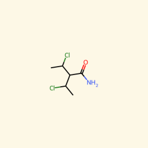 CC(Cl)C(C(N)=O)C(C)Cl